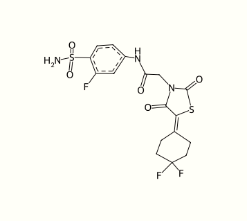 NS(=O)(=O)c1ccc(NC(=O)CN2C(=O)SC(=C3CCC(F)(F)CC3)C2=O)cc1F